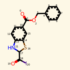 O=C(OCc1ccccc1)c1ccc2c(c1)SC(C(=O)I)N2